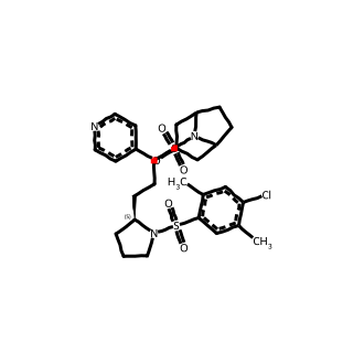 Cc1cc(S(=O)(=O)N2CCC[C@H]2CCCS(=O)(=O)N2C3CCC2CC(Oc2ccncc2)C3)c(C)cc1Cl